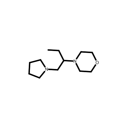 CC[C](CN1CCCC1)N1CCOCC1